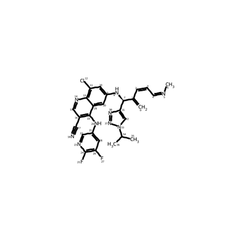 C=C(/C=C\C=N/C)[C@H](Nc1cc(Cl)c2ncc(C#N)c(Nc3cnc(F)c(F)c3)c2c1)c1cn(C(C)C)nn1